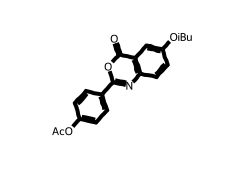 CC(=O)Oc1ccc(-c2nc3ccc(OCC(C)C)cc3c(=O)o2)cc1